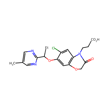 CCC(Oc1cc2c(cc1Cl)N(CCC(=O)O)C(=O)CO2)c1ncc(C)cn1